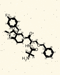 CN1N=C2CCN(C(=O)[C@@H](COCc3ccccc3)NC(=O)C(C)(C)N)C[C@@]2(Cc2ccc(F)cc2)C1=O